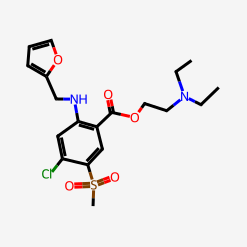 CCN(CC)CCOC(=O)c1cc(S(C)(=O)=O)c(Cl)cc1NCc1ccco1